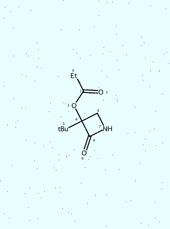 CCC(=O)OC1(C(C)(C)C)CNC1=O